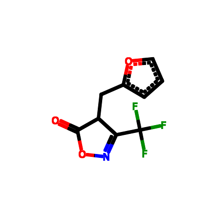 O=C1ON=C(C(F)(F)F)C1Cc1ccco1